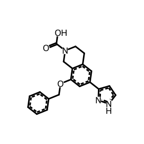 O=C(O)N1CCc2cc(-c3cc[nH]n3)cc(OCc3ccccc3)c2C1